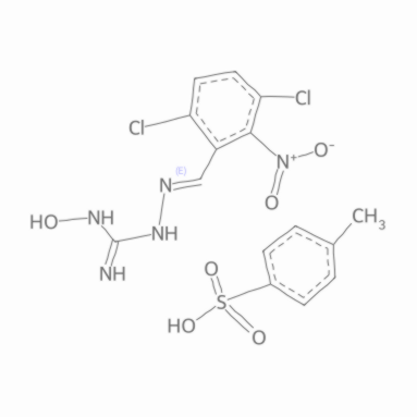 Cc1ccc(S(=O)(=O)O)cc1.N=C(NO)N/N=C/c1c(Cl)ccc(Cl)c1[N+](=O)[O-]